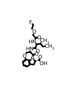 CC[C@H](C)[C@H](NC(=O)COCCF)C(=O)N[C@H]1COc2cccc3c2N(C1=O)[C@H](C(=O)O)C3